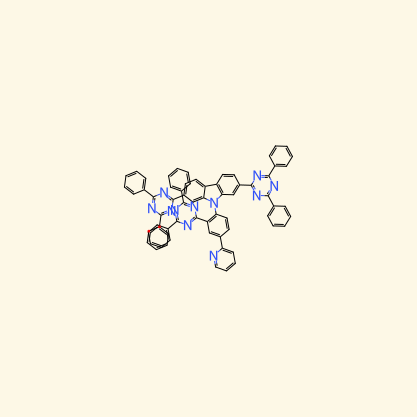 c1ccc(-c2nc(-c3ccccc3)nc(-c3ccc4c5ccc(-c6nc(-c7ccccc7)nc(-c7ccccc7)n6)cc5n(-c5ccc(-c6ccccn6)cc5-c5nc(-c6ccccc6)nc(-c6ccccc6)n5)c4c3)n2)cc1